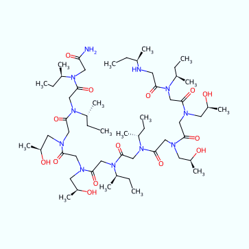 CC[C@@H](C)NCC(=O)N(CC(=O)N(CC(=O)N(CC(=O)N(CC(=O)N(CC(=O)N(CC(=O)N(CC(=O)N(CC(=O)N(CC(N)=O)[C@H](C)CC)[C@H](C)CC)C[C@H](C)O)C[C@H](C)O)[C@H](C)CC)[C@H](C)CC)C[C@H](C)O)C[C@H](C)O)[C@H](C)CC